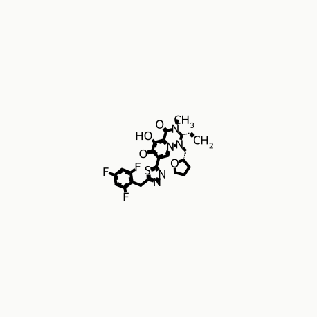 C=C[C@H]1N(C)C(=O)c2c(O)c(=O)c(-c3nnc(Cc4c(F)cc(F)cc4F)s3)cn2N1C[C@@H]1CCCO1